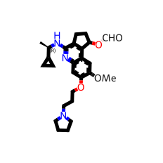 COc1cc2c3c(c(N[C@H](C)C4CC4)nc2cc1OCCCN1CCCC1)CCC3OC=O